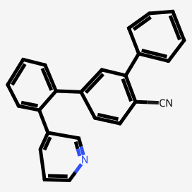 N#Cc1ccc(-c2ccccc2-c2cccnc2)cc1-c1ccccc1